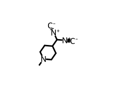 [C-]#[N+]C([N+]#[C-])C1CCN(C)CC1